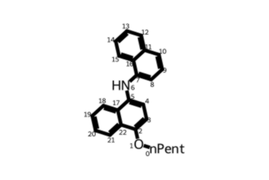 CCCCCOc1ccc(Nc2cccc3ccccc23)c2ccccc12